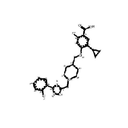 O=C(O)c1cc(C2CC2)c(OCC2CCN(Cc3noc(-c4ccccc4Cl)n3)CC2)cc1F